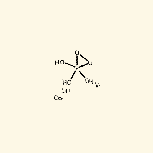 OP1(O)(O)OO1.[Co].[LiH].[V]